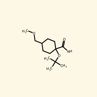 COCC1CCC(OC(C)(C)C)(C([NH])=O)CC1